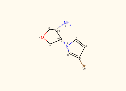 N[C@H]1COC[C@H]1n1ccc(Br)c1